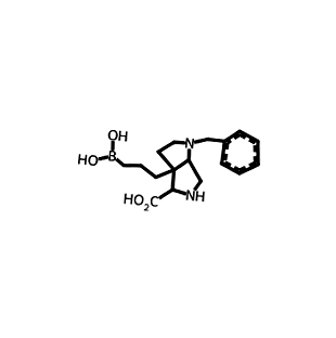 O=C(O)C1NCC2N(Cc3ccccc3)CCC12CCCB(O)O